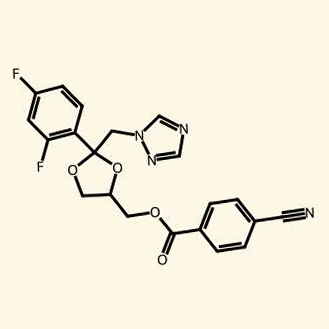 N#Cc1ccc(C(=O)OCC2COC(Cn3cncn3)(c3ccc(F)cc3F)O2)cc1